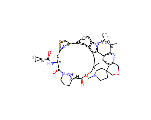 CO[C@@H](C)c1nc2c(cc1-c1c3c4cc(ccc4n1CC(F)(F)F)-c1csc(n1)C[C@H](NC(=O)[C@H]1C[C@@H]1C)C(=O)N1CCC[C@H](N1)C(=O)OCC(C)(C)C3)C1(CCN(C)CC1)COC2